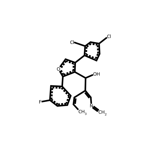 C=N/C=C(\C=C/C)C(O)c1c(-c2ccc(Cl)cc2Cl)coc1-c1cccc(F)c1